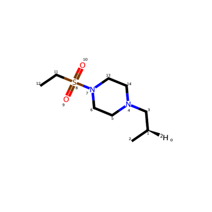 [2H][C@@H](C)CN1CCN(S(=O)(=O)CC)CC1